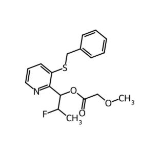 COCC(=O)OC(c1ncccc1SCc1ccccc1)C(C)F